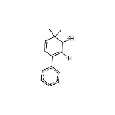 [2H]C1=C(c2ccccc2)C=CC(C)(C)C1[2H]